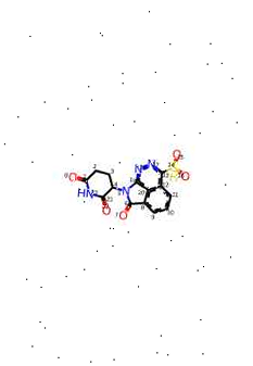 O=C1CCC(N2C(=O)c3cccc4c([SH](=O)=O)nnc2c34)C(=O)N1